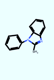 [SiH3]c1nc2ccccc2n1-c1ccccc1